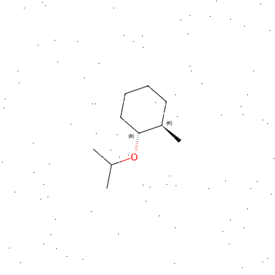 CC(C)O[C@@H]1CCCC[C@H]1C